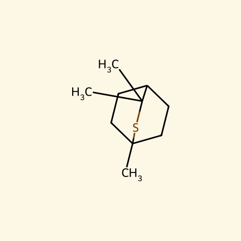 CC12CCC(CC1)C(C)(C)S2